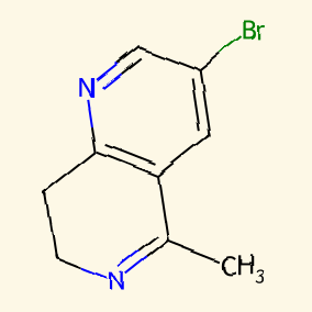 CC1=NCCc2ncc(Br)cc21